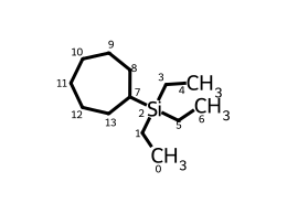 CC[Si](CC)(CC)C1CCCCCC1